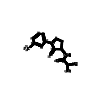 CCC(Cl)C(=O)NC1CCN(c2cccc(C(F)(F)F)c2)C1=O